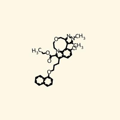 CCOC(=O)c1c(CCCOc2cccc3ccccc23)c2ccc(Cl)c3c2n1CCOCc1nn(C)c(C)c1-3